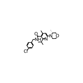 Cc1cc(N2CCOC[C@H]2C)nc(C(C)C)c1C(=O)NCc1ccc(Cl)cc1